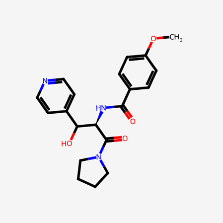 COc1ccc(C(=O)N[C@@H](C(=O)N2CCCC2)C(O)c2ccncc2)cc1